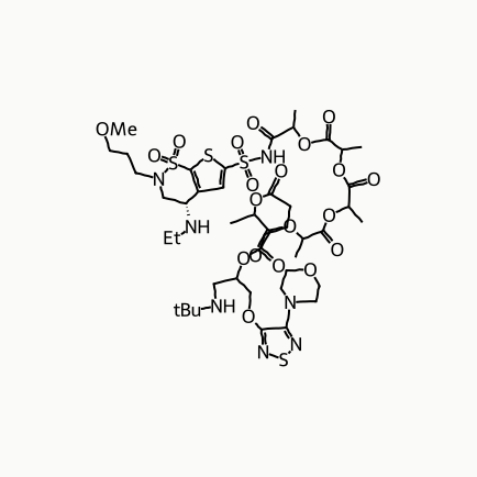 CCN[C@@H]1CN(CCCOC)S(=O)(=O)c2sc(S(=O)(=O)NC(=O)C(C)OC(=O)C(C)OC(=O)C(C)OC(=O)C(C)OC(=O)C(C)OC(=O)CCCC(=O)OC(CNC(C)(C)C)COc3nsnc3N3CCOCC3)cc21